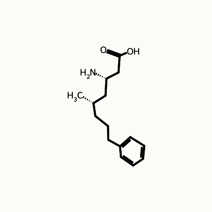 C[C@@H](CCCc1ccccc1)C[C@H](N)CC(=O)O